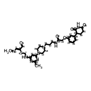 C=N/C=C(/C=O)SCNc1cc(N2CCN(CCCNC(=O)COc3cccc(C4CCC(=O)NC4=O)c3)CC2)nc(C)n1